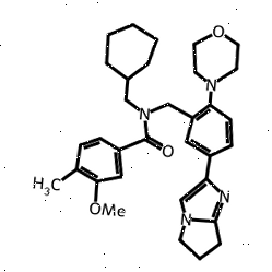 COc1cc(C(=O)N(Cc2cc(-c3cn4c(n3)CCC4)ccc2N2CCOCC2)CC2CCCCC2)ccc1C